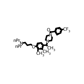 CCCN(CCC)CCCOc1ccc(C(C)N2CCN(C(=O)c3ccc(C(F)(F)F)cc3)CC2)c(C)c1C